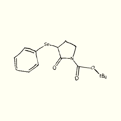 CC(C)(C)OC(=O)N1CCC([Se]c2ccccc2)C1=O